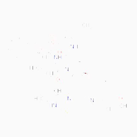 C=CC1C[C@@]1(C=O)NC(=O)C1C[C@@H](Oc2cc(-c3csc(NC(C)C)n3)nc3c(Cl)c(OC)ccc23)CN1C(=O)C(NC(=O)OC=C1CCCCC1)C(C)(C)C